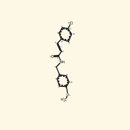 COc1ccc(CNC(=O)/C=C/c2ccc(Cl)cc2)cc1